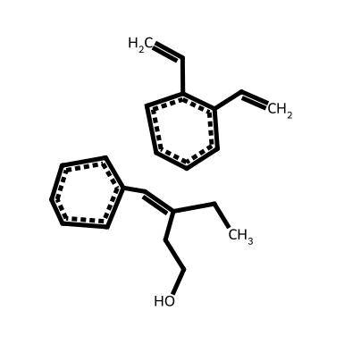 C=Cc1ccccc1C=C.CCC(=Cc1ccccc1)CCO